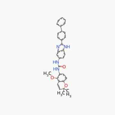 COc1c(NC(=O)Nc2ccc3[nH]c(-c4ccc(-c5ccccc5)cc4)nc3c2)ccc2c1C=CC(C)(C)O2